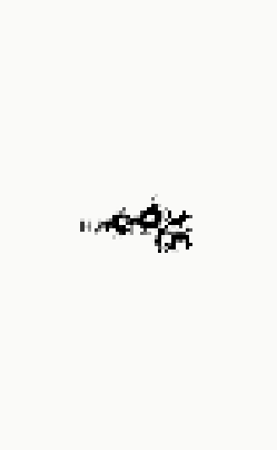 C=CC(=O)N1C(C(F)F)COC[C@H]1c1cc(Cl)cc(-c2ncc(N)cn2)c1